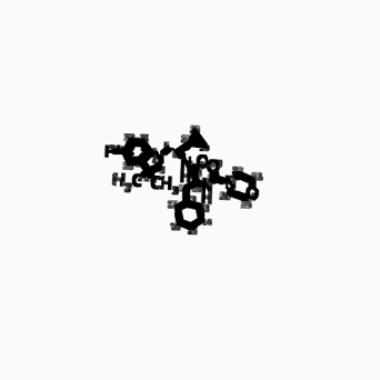 CC1(C)CN(C[C@@H](NC(=O)C(CC2CCCCC2)NC(=O)N2CCOCC2)C2CC2)c2ccc(F)cc21